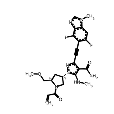 C=CC(=O)N1C[C@@H](n2nc(C#Cc3c(F)cc4c(ncn4C)c3F)c(C(N)=O)c2NC)C[C@@H]1COC